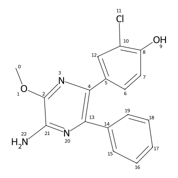 COc1nc(-c2ccc(O)c(Cl)c2)c(-c2ccccc2)nc1N